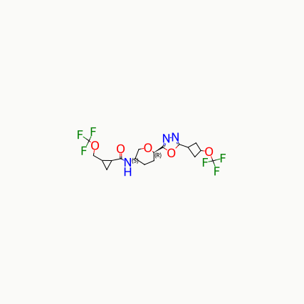 O=C(N[C@H]1CC[C@H](c2nnc(C3CC(OC(F)(F)F)C3)o2)OC1)C1CC1COC(F)(F)F